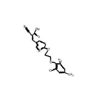 Cc1cc(Cl)c(OCCOc2ccc(C=C(C#N)C(=O)O)cn2)c(Cl)c1